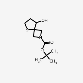 CC(C)(C)OC(=O)N1CC2(C1)SCCC2O